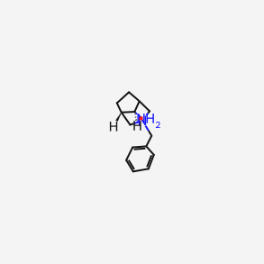 N[C@@H]1C2CC[C@H]1CN(Cc1ccccc1)C2